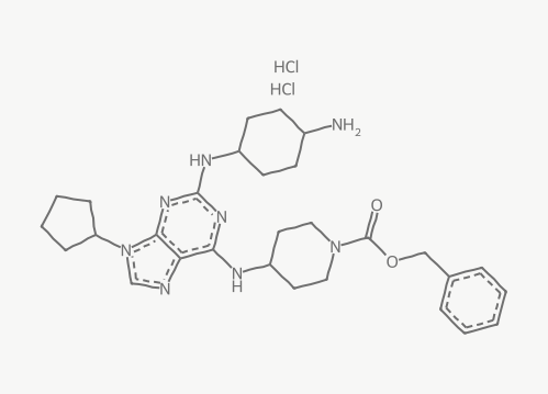 Cl.Cl.NC1CCC(Nc2nc(NC3CCN(C(=O)OCc4ccccc4)CC3)c3ncn(C4CCCC4)c3n2)CC1